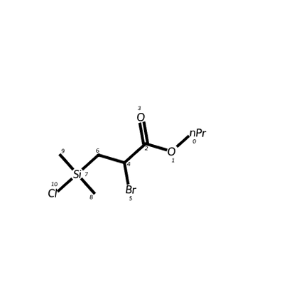 CCCOC(=O)C(Br)C[Si](C)(C)Cl